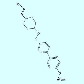 CCCCCOc1ccc(-c2ccc(CO[C@H]3CC[C@H](/C=C/Cl)CC3)cc2)nc1